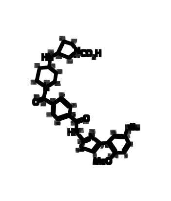 CCCCc1ccc(OC)c(-c2csc(NC(=O)c3ccc(C(=O)N4CCC(NC5CCN(C(=O)O)C5)CC4)cc3)n2)c1